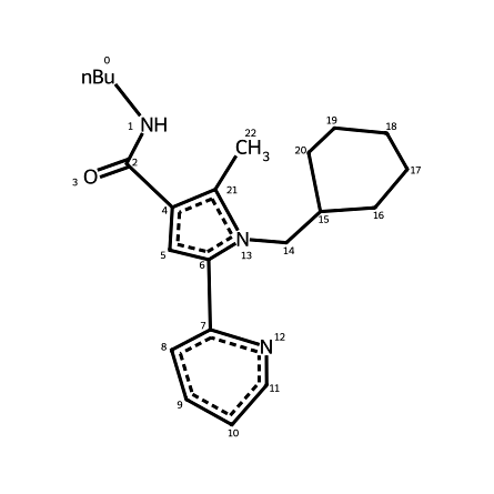 CCCCNC(=O)c1cc(-c2ccccn2)n(CC2CCCCC2)c1C